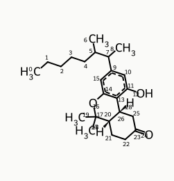 CCCCCC(C)C(C)c1cc(O)c2c(c1)OC(C)(C)[C@H]1CCC(=O)C[C@@H]21